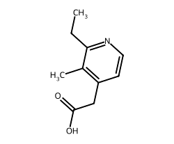 CCc1nccc(CC(=O)O)c1C